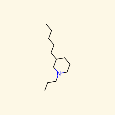 CCCCCC1CCCN(CCC)C1